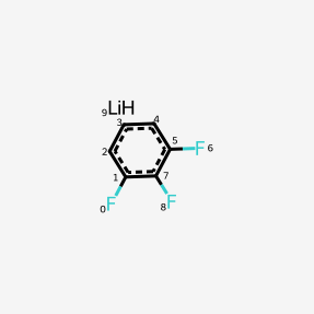 Fc1cccc(F)c1F.[LiH]